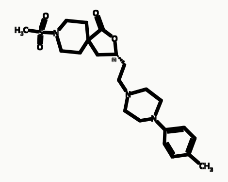 Cc1ccc(N2CCN(CC[C@@H]3CC4(CCN(S(C)(=O)=O)CC4)C(=O)O3)CC2)cc1